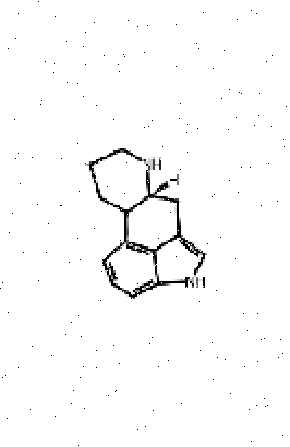 [CH]1CN[C@@H]2Cc3c[nH]c4cccc(c34)C2C1